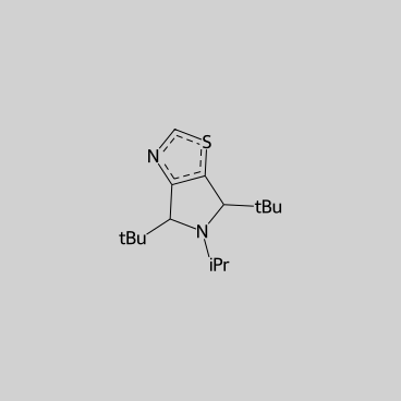 CC(C)N1C(C(C)(C)C)c2ncsc2C1C(C)(C)C